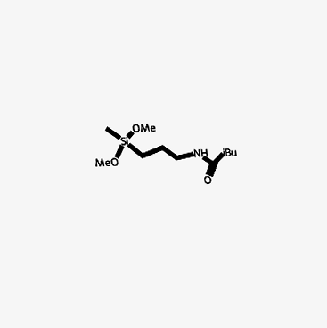 CCC(C)C(=O)NCCC[Si](C)(OC)OC